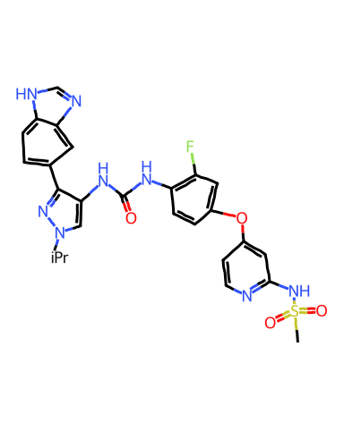 CC(C)n1cc(NC(=O)Nc2ccc(Oc3ccnc(NS(C)(=O)=O)c3)cc2F)c(-c2ccc3[nH]cnc3c2)n1